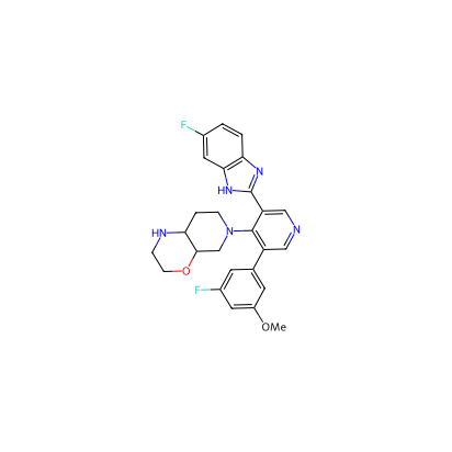 COc1cc(F)cc(-c2cncc(-c3nc4ccc(F)cc4[nH]3)c2N2CCC3NCCOC3C2)c1